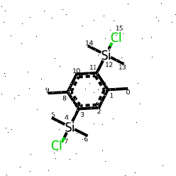 Cc1cc([Si](C)(C)Cl)c(C)cc1[Si](C)(C)Cl